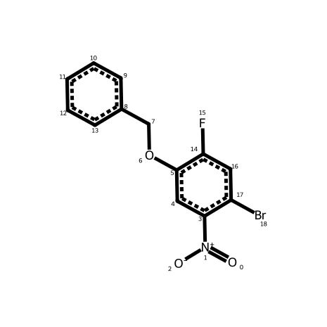 O=[N+]([O-])c1cc(OCc2ccccc2)c(F)cc1Br